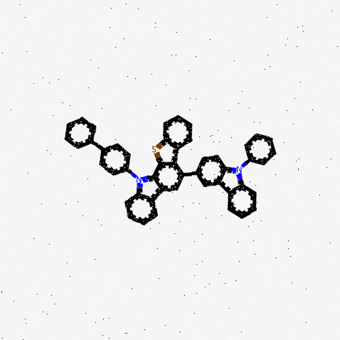 c1ccc(-c2ccc(-n3c4ccccc4c4cc(-c5ccc6c(c5)c5ccccc5n6-c5ccccc5)c5c6ccccc6sc5c43)cc2)cc1